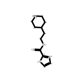 O=C(OCCC1CCNCC1)c1nccs1